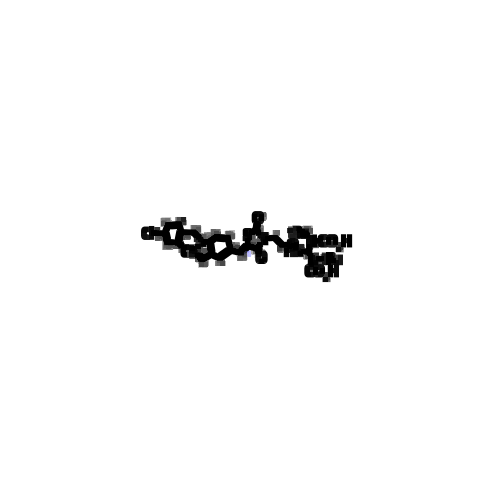 CC(C)(C)N(C(=O)O)C(NOCCN1C(=O)S/C(=C\c2ccc3c(cnn3Cc3ccc(Cl)cc3C(F)(F)F)c2)C1=O)N(C(=O)O)C(C)(C)C